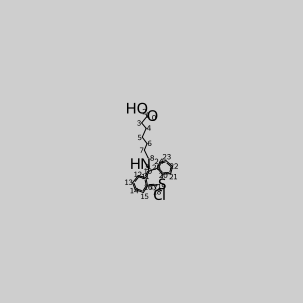 O=C(O)CCCCCCNC1=c2ccccc2=C(Cl)Sc2ccccc21